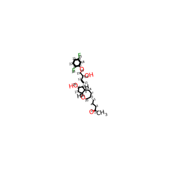 CC(=O)CCC[C@H]1CC[C@@H]2[C@@H](/C=C/[C@@H](O)COc3cc(F)ccc3F)[C@H](O)C[C@@H]2OC1